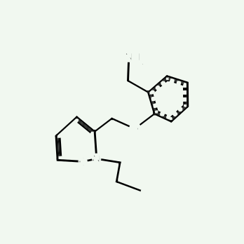 CCCN1CC=CC=C1COc1ccccc1CN